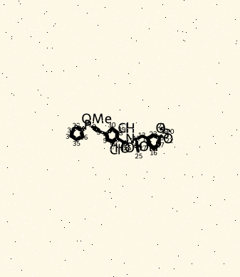 COP(C#Cc1cc(Cl)c(C(=O)NC(Cc2cccc(S(C)(=O)=O)c2)C(C)(O)O)c(Cl)c1)c1ccccc1